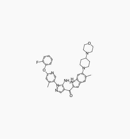 Cc1cc2cc(C(=O)c3cnn(-c4cnc(Oc5ccccc5F)cc4C)c3N)[nH]c2cc1N1CCC(N2CCOCC2)CC1